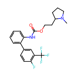 CN1CCCC1CCOC(=O)Nc1ccccc1-c1ccc(F)c(C(F)(F)F)c1